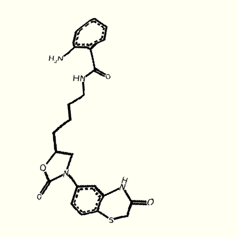 Nc1ccccc1C(=O)NCCCCC1CN(c2ccc3c(c2)NC(=O)CS3)C(=O)O1